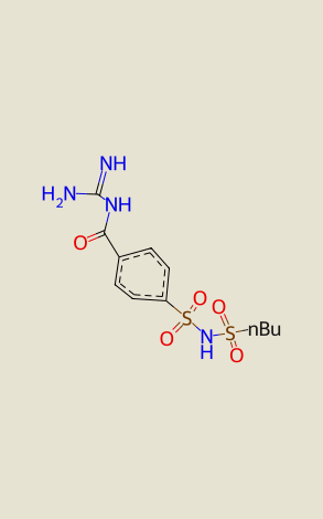 CCCCS(=O)(=O)NS(=O)(=O)c1ccc(C(=O)NC(=N)N)cc1